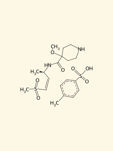 COC1(C(=O)N[C@H](C)/C=C\S(C)(=O)=O)CCNCC1.Cc1ccc(S(=O)(=O)O)cc1